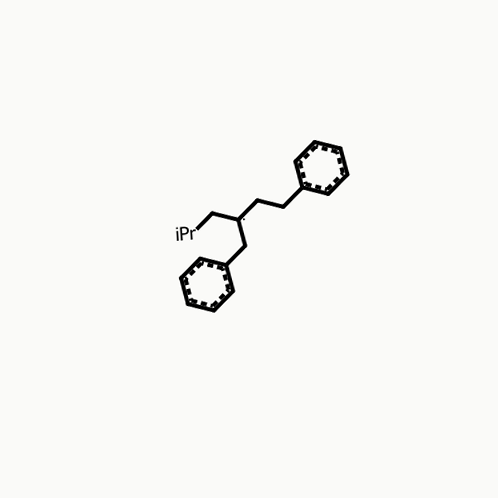 CC(C)C[C](CCc1ccccc1)Cc1ccccc1